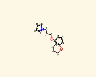 c1cc2c(c(OCCCn3cccc3)c1)CCCO2